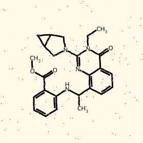 CCn1c(N2CC3CC3C2)nc2c(C(C)Nc3ccccc3C(=O)OC)cccc2c1=O